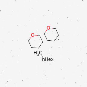 C1CCOCC1.C1CCOCC1.CCCCCCC